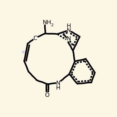 NC1C/C=C\CCC(=O)Nc2ccccc2-c2c[nH]c1n2